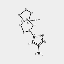 Nc1nnc(N2CCN3CCC[C@H]3C2)s1